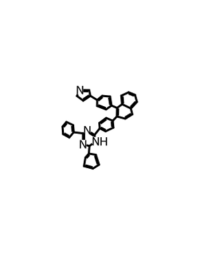 C1=NCC=C1c1ccc(-c2c(-c3ccc(C4=NC(c5ccccc5)=NC(c5ccccc5)N4)cc3)ccc3ccccc23)cc1